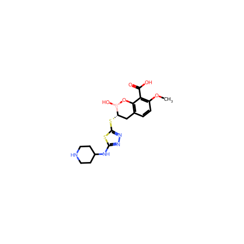 COc1ccc2c(c1C(=O)O)OB(O)[C@@H](Sc1nnc(NC3CCNCC3)s1)C2